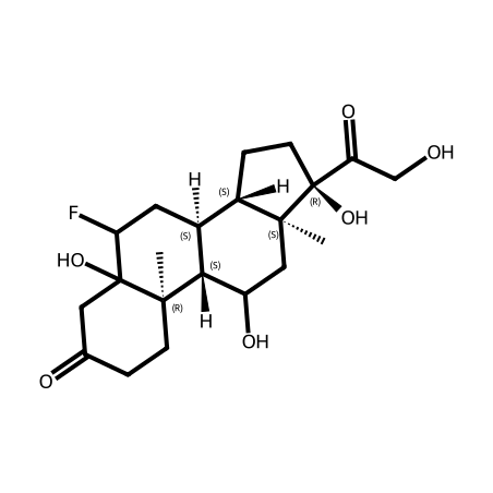 C[C@]12CC(O)[C@H]3[C@@H](CC(F)C4(O)CC(=O)CC[C@]34C)[C@@H]1CC[C@]2(O)C(=O)CO